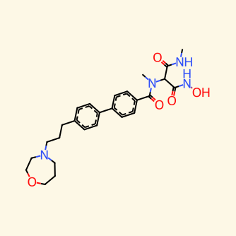 CNC(=O)C(C(=O)NO)N(C)C(=O)c1ccc(-c2ccc(CCCN3CCCOCC3)cc2)cc1